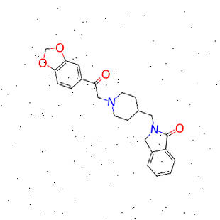 O=C(CN1CCC(CN2Cc3ccccc3C2=O)CC1)c1ccc2c(c1)OCO2